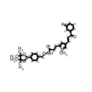 Cn1cc(/C=C/C(=O)c2cccc(F)c2)cc1/C=C/C(=O)NOCc1ccc(B2OC(C)(C)C(C)(C)O2)cc1